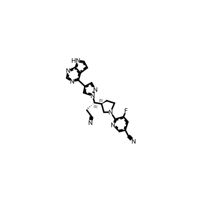 N#CC[C@@H]([C@H]1CCN(c2ncc(C#N)cc2F)C1)n1cc(-c2ncnc3[nH]ccc23)cn1